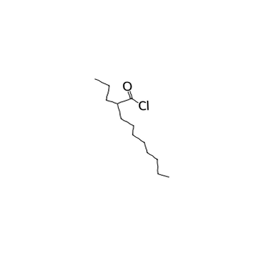 CCCCCCCCC(CCC)C(=O)Cl